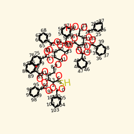 O=C(OC1C(S)OC(COC2OC(COC3OC(CO)C(OC(=O)c4ccccc4)C(OC(=O)c4ccccc4)C3OC(=O)c3ccccc3)C(OC(=O)c3ccccc3)C(OC(=O)c3ccccc3)C2OC(=O)c2ccccc2)C(OC(=O)c2ccccc2)C1OC(=O)c1ccccc1)c1ccccc1